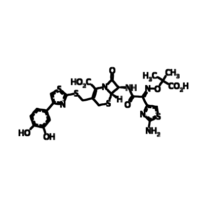 CC(C)(ON=C(C(=O)N[C@@H]1C(=O)N2C(C(=O)O)=C(CSc3nc(-c4ccc(O)c(O)c4)cs3)CS[C@@H]12)c1csc(N)n1)C(=O)O